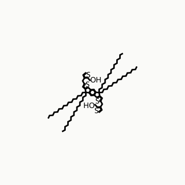 CCCCCCCCCCCCCCCCC1(CCCCCCCCCCCCCCCC)c2cc3c(cc2-c2sc(Cc4ccsc4CO)cc21)C(CCCCCCCCCCCCCCCC)(CCCCCCCCCCCCCCCC)c1cc(Cc2ccsc2CO)sc1-3